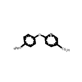 CCCCCc1ccc(Oc2ccc(C(=O)O)cn2)cc1